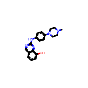 CN1CCN(c2ccc(Nc3ncc4cccc(O)c4n3)cc2)CC1